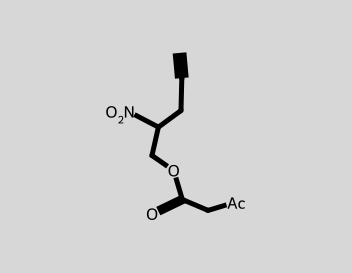 C#CCC(COC(=O)CC(C)=O)[N+](=O)[O-]